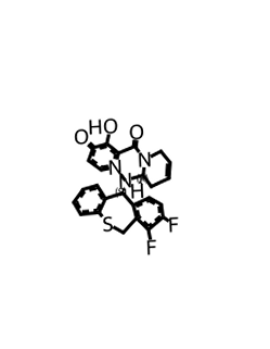 O=C1c2c(O)c(=O)ccn2N([C@@H]2c3ccccc3SCc3c2ccc(F)c3F)[C@@H]2CC=CCN12